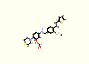 Cc1cc(CNc2ccc(N3CCSCC3)c(OC=O)c2)ccc1CCc1cccs1